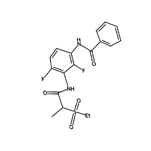 CCS(=O)(=O)C(C)C(=O)Nc1c(F)ccc(NC(=O)c2ccccc2)c1F